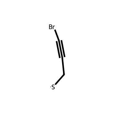 [S]CC#CBr